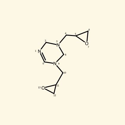 C1=NCN(CC2CO2)CN1CC1CO1